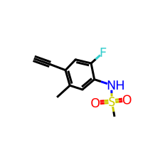 C#Cc1cc(F)c(NS(C)(=O)=O)cc1C